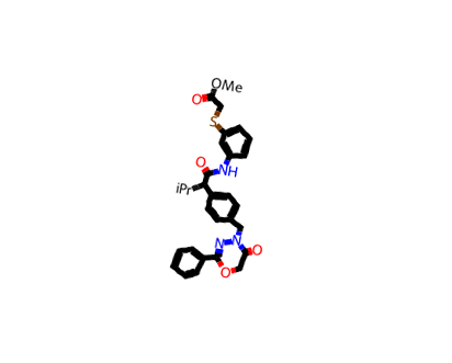 COC(=O)CSc1cccc(NC(=O)C(c2ccc(CN3N=C(c4ccccc4)OCC3=O)cc2)C(C)C)c1